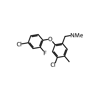 CNCc1cc(C)c(Cl)cc1Oc1ccc(Cl)cc1F